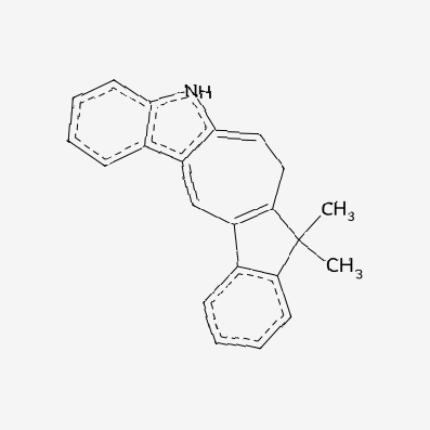 CC1(C)C2=C(C=c3c([nH]c4ccccc34)=CC2)c2ccccc21